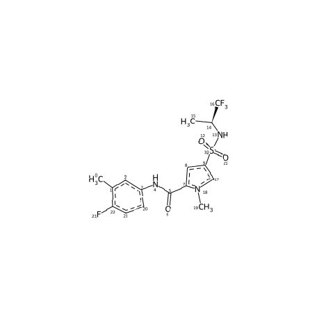 Cc1cc(NC(=O)c2cc(S(=O)(=O)N[C@@H](C)C(F)(F)F)cn2C)ccc1F